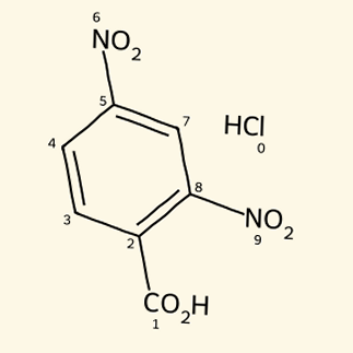 Cl.O=C(O)c1ccc([N+](=O)[O-])cc1[N+](=O)[O-]